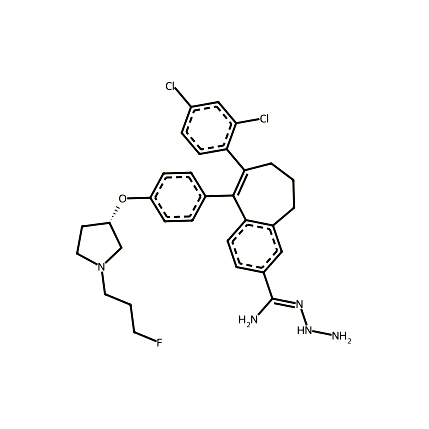 NN/N=C(\N)c1ccc2c(c1)CCCC(c1ccc(Cl)cc1Cl)=C2c1ccc(O[C@H]2CCN(CCCF)C2)cc1